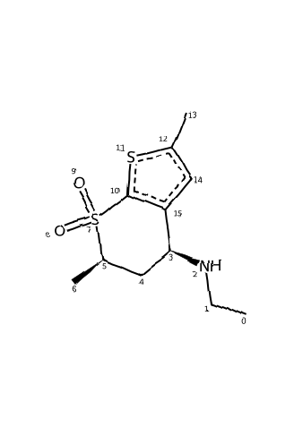 CCN[C@H]1C[C@@H](C)S(=O)(=O)c2sc(C)cc21